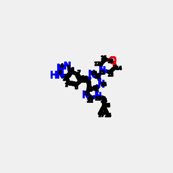 c1cc2[nH]nnc2cc1-c1nc(N2CCOCC2)nc2c1ncn2CC1CC1